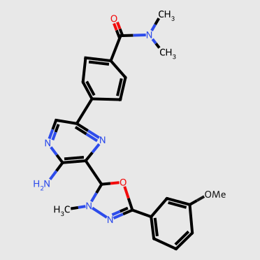 COc1cccc(C2=NN(C)C(c3nc(-c4ccc(C(=O)N(C)C)cc4)cnc3N)O2)c1